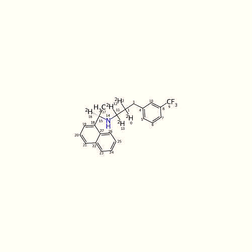 [2H]C([2H])(Cc1cccc(C(F)(F)F)c1)C([2H])([2H])N[C@]([2H])(C)c1cccc2ccccc12